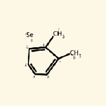 Cc1ccccc1C.[Se]